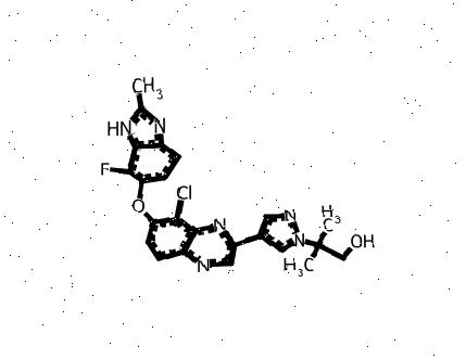 Cc1nc2ccc(Oc3ccc4ncc(-c5cnn(C(C)(C)CO)c5)nc4c3Cl)c(F)c2[nH]1